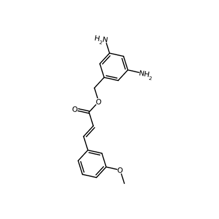 COc1cccc(/C=C/C(=O)OCc2cc(N)cc(N)c2)c1